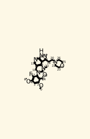 COc1cc(OC)c(F)c(N2Cc3cnc4[nH]nc(CCN5CCOCC5)c4c3N(C)C2=O)c1F